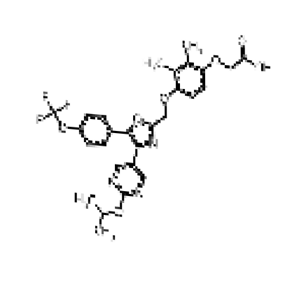 Cc1c(OCC(=O)O)ccc(OCc2nc(-c3cnc(OC(C)C)nc3)c(-c3ccc(OC(F)(F)F)cc3)o2)c1C